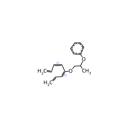 C=C/C=C\C(=C/C=C)OCC(C)Oc1ccccc1